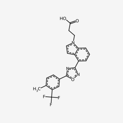 Cc1ccc(-c2nc(-c3cccc4c3ccn4CCC(=O)O)no2)cc1C(F)(F)F